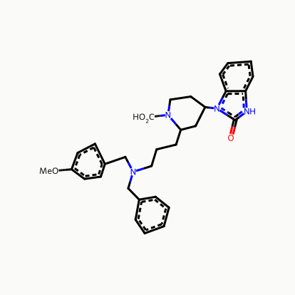 COc1ccc(CN(CCCC2CC(n3c(=O)[nH]c4ccccc43)CCN2C(=O)O)Cc2ccccc2)cc1